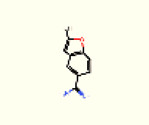 Cc1cc2cc(C(=N)N)ccc2o1